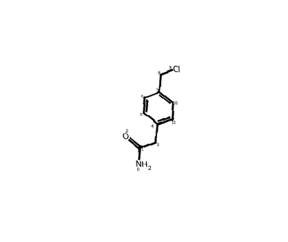 NC(=O)Cc1ccc(CCl)cc1